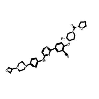 N#Cc1cc(-c2nccc(Nc3ccc(N4CCN(C5COC5)CC4)cc3)n2)ccc1O[C@H]1CCN(C(=O)[C@@H]2CCCO2)C[C@H]1F